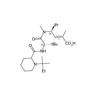 CCC(C)(C)N1CCCCC1C(=O)N[C@H](C(=O)N(C)[C@H](/C=C(\C)C(=O)O)C(C)C)C(C)(C)C